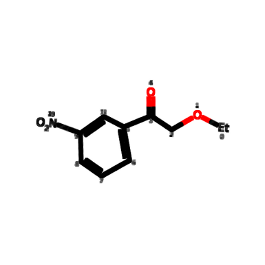 CCOCC(=O)c1cccc([N+](=O)[O-])c1